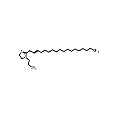 CCCCCCCCCCCCCCCC=CCC1=NCCN1CCC